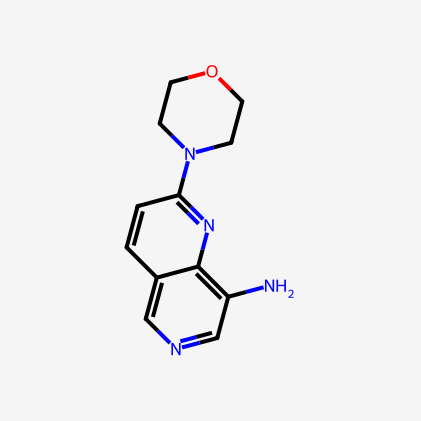 Nc1cncc2ccc(N3CCOCC3)nc12